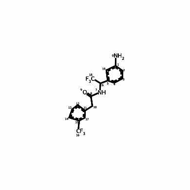 Nc1cccc(C(NC(=O)Cc2cccc(C(F)(F)F)c2)C(F)(F)F)c1